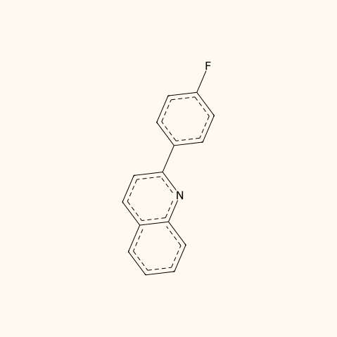 Fc1ccc(-c2ccc3ccccc3n2)cc1